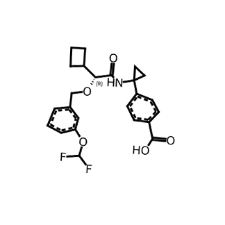 O=C(O)c1ccc(C2(NC(=O)[C@H](OCc3cccc(OC(F)F)c3)C3CCC3)CC2)cc1